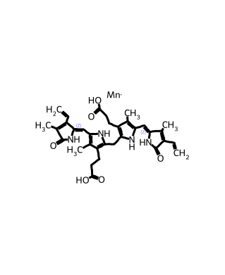 C=CC1=C(C)/C(=C/c2[nH]c(Cc3[nH]c(/C=C4\NC(=O)C(C)=C4C=C)c(C)c3CCC(=O)O)c(CCC(=O)O)c2C)NC1=O.[Mn]